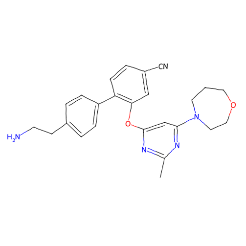 Cc1nc(Oc2cc(C#N)ccc2-c2ccc(CCN)cc2)cc(N2CCCOCC2)n1